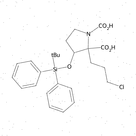 CC(C)(C)[Si](OC1CCN(C(=O)O)C1(CCCCl)C(=O)O)(c1ccccc1)c1ccccc1